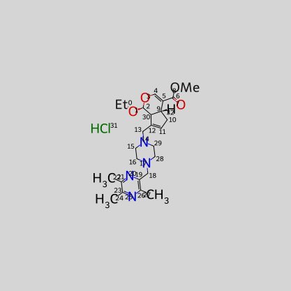 CCO[C@H]1OC=C(C(=O)OC)[C@@H]2CC=C(CN3CCN(Cc4nc(C)c(C)nc4C)CC3)C12.Cl